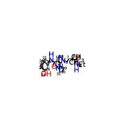 CCNC(=O)C(C)(C)/C=C/n1ncc(C(=O)NC2C3CC4CC2CC(O)(C4)C3)c1-n1cccn1